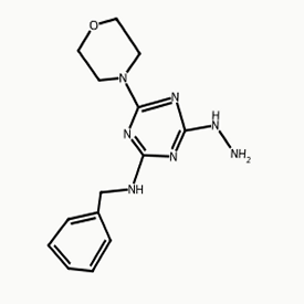 NNc1nc(NCc2ccccc2)nc(N2CCOCC2)n1